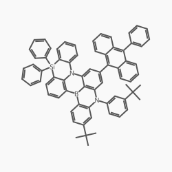 CC(C)(C)c1cccc(N2c3cc(C(C)(C)C)ccc3B3c4cccc5c4N(c4ccccc4[Si]5(c4ccccc4)c4ccccc4)c4cc(-c5c6ccccc6c(-c6ccccc6)c6ccccc56)cc2c43)c1